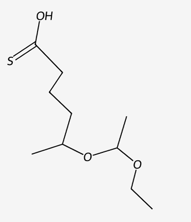 CCOC(C)OC(C)CCCC(O)=S